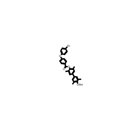 COc1c(C)cc(-c2cc(C)c(OC(=O)c3ccc(Oc4ccc(C(C)=O)cc4)cc3)c(C)c2)cc1C